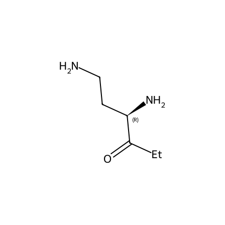 CCC(=O)[C@H](N)CCN